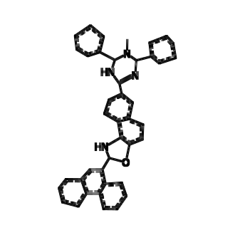 CN1C(c2ccccc2)N=C(c2ccc3c4c(ccc3c2)OC(c2cc3ccccc3c3ccccc23)N4)NC1c1ccccc1